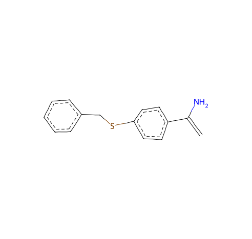 C=C(N)c1ccc(SCc2ccccc2)cc1